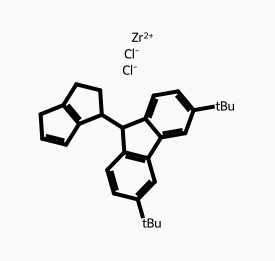 CC(C)(C)c1ccc2c(c1)-c1cc(C(C)(C)C)ccc1C2C1CCC2=C1C=CC2.[Cl-].[Cl-].[Zr+2]